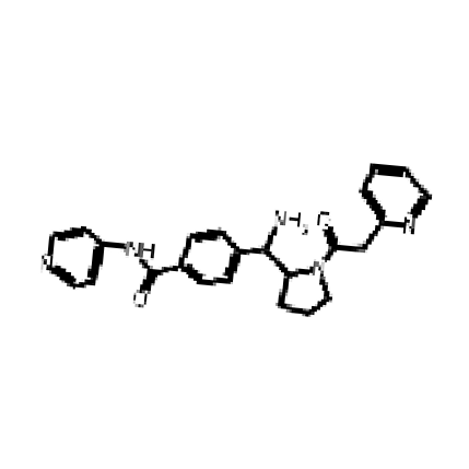 NC(c1ccc(C(=O)Nc2ccncc2)cc1)C1CCCN1C(=O)Cc1ccccn1